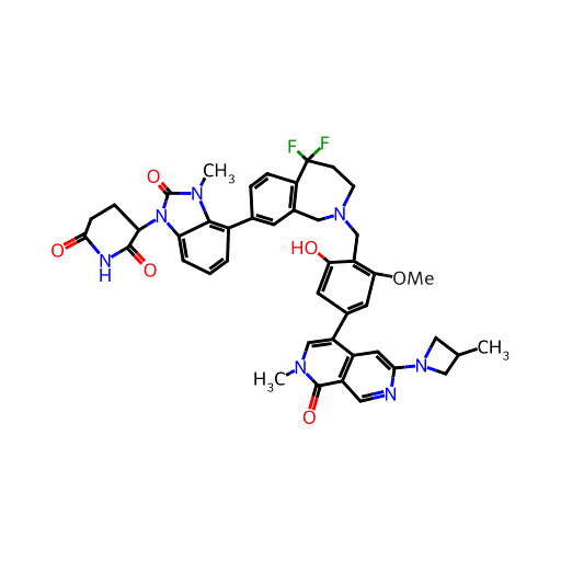 COc1cc(-c2cn(C)c(=O)c3cnc(N4CC(C)C4)cc23)cc(O)c1CN1CCC(F)(F)c2ccc(-c3cccc4c3n(C)c(=O)n4C3CCC(=O)NC3=O)cc2C1